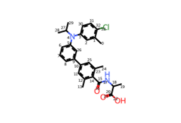 Cc1cc(N(c2cccc(-c3cc(C)c(C(=O)NC(C)C(=O)O)c(C)c3)c2)C(C)C)ccc1Cl